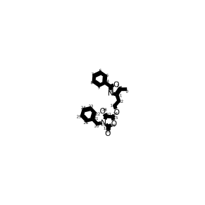 Cc1oc(-c2ccccc2)nc1CCOC1OC(=O)N(Cc2ccccc2)C1=O